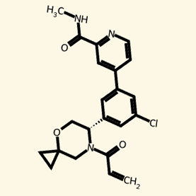 C=CC(=O)N1CC2(CC2)OC[C@@H]1c1cc(Cl)cc(-c2ccnc(C(=O)NC)c2)c1